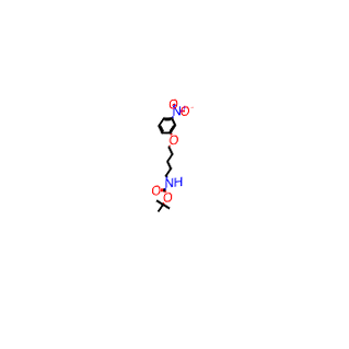 CC(C)(C)OC(=O)NCCCCCOc1cccc([N+](=O)[O-])c1